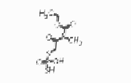 CCOC(=O)N(C)C(=O)CSP(=O)(O)S